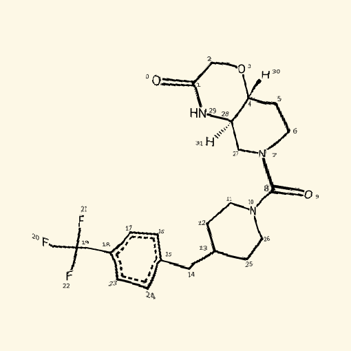 O=C1CO[C@@H]2CCN(C(=O)N3CCC(Cc4ccc(C(F)(F)F)cc4)CC3)C[C@H]2N1